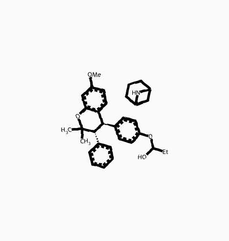 C1CC2CC(C1)N2.CCC(O)Oc1ccc([C@@H]2c3ccc(OC)cc3OC(C)(C)[C@H]2c2ccccc2)cc1